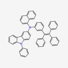 c1ccc(C(=C(c2ccccc2)c2cccc(N(c3ccc4c(c3)c3ccccc3n4-c3ccccc3)c3cccc4ccccc34)c2)c2ccccc2)cc1